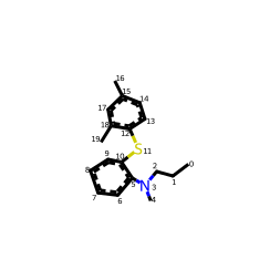 CCCN(C)c1ccccc1Sc1ccc(C)cc1C